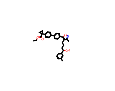 CCOC(=O)C1(c2ccc(-c3ccc(-c4onc(C)c4CCCC(O)c4cccc(C)c4)cc3)cc2)CC1